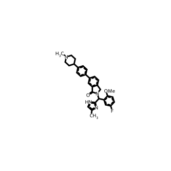 COc1ccc(F)cc1C(c1nc(C)c[nH]1)N1Cc2ccc(-c3ccc(C4CCN(C)CC4)cc3)cc2C1=O